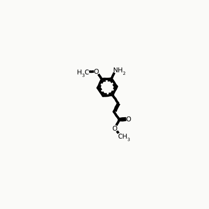 COC(=O)C=Cc1ccc(OC)c(N)c1